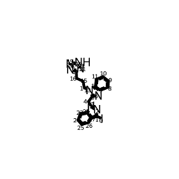 Ic1nn(Cc2nc3ccccc3n2CCCc2nn[nH]n2)c2ccccc12